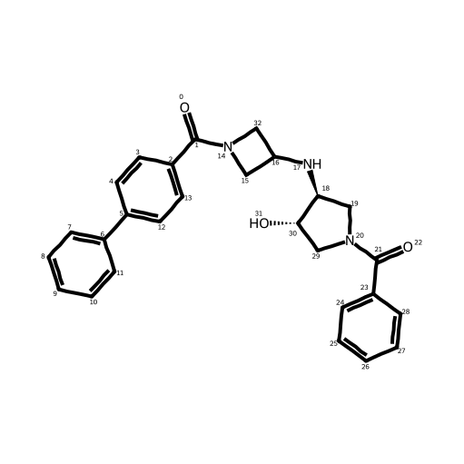 O=C(c1ccc(-c2ccccc2)cc1)N1CC(N[C@H]2CN(C(=O)c3ccccc3)C[C@@H]2O)C1